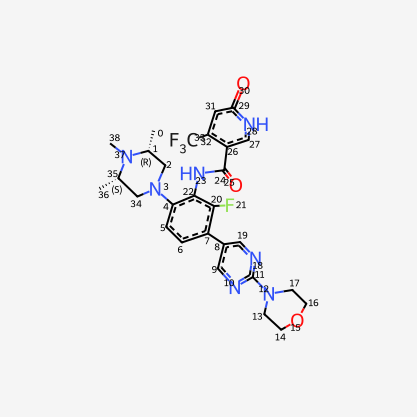 C[C@@H]1CN(c2ccc(-c3cnc(N4CCOCC4)nc3)c(F)c2NC(=O)c2c[nH]c(=O)cc2C(F)(F)F)C[C@H](C)N1C